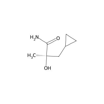 C[C@@](O)(CC1CC1)C(N)=O